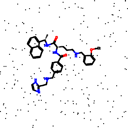 CCOc1ccccc1CNCCC[C@H](NC(=O)c1ccc(CNCc2ncc[nH]2)cc1)C(=O)N[C@@H](C)c1cccc2ccccc12